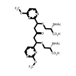 CC(=O)N[C@@H](CSC(CC(=O)CC(SC[C@H](NC(C)=O)C(=O)O)c1nccc(OC(F)(F)F)n1)c1ccnc(OC(F)(F)F)n1)C(=O)O